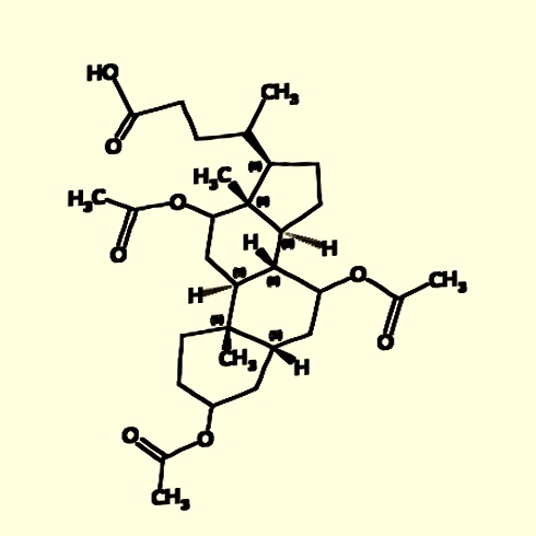 CC(=O)OC1CC[C@@]2(C)[C@@H](C1)CC(OC(C)=O)[C@@H]1[C@@H]2CC(OC(C)=O)[C@]2(C)[C@@H](C(C)CCC(=O)O)CC[C@@H]12